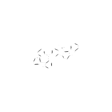 CC1(C)c2ccc(N(c3ccccc3)c3cccc4oc5ccccc5c34)cc2-c2ccc3oc4ccccc4c3c21